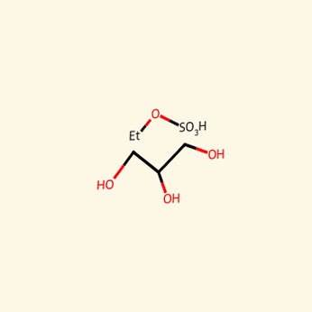 CCOS(=O)(=O)O.OCC(O)CO